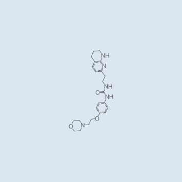 O=C(NCCc1ccc2c(n1)NCCC2)Nc1ccc(OCCN2CCOCC2)cc1